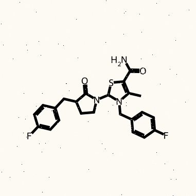 CC1=C(C(N)=O)SC(N2CCC(Cc3ccc(F)cc3)C2=O)N1Cc1ccc(F)cc1